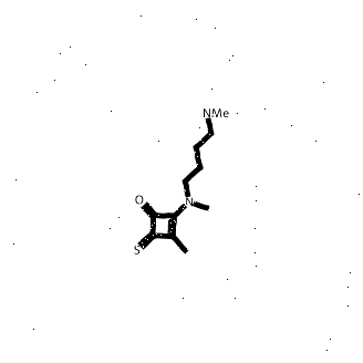 CNCCCCN(C)c1c(C)c(=S)c1=O